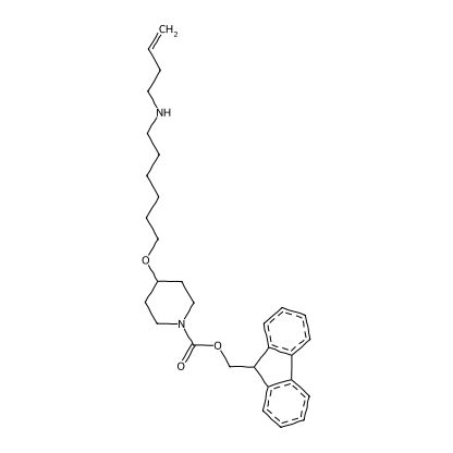 C=CCCNCCCCCCOC1CCN(C(=O)OCC2c3ccccc3-c3ccccc32)CC1